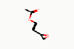 CC(=O)OC=CC1CO1